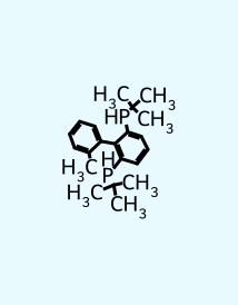 Cc1ccccc1-c1c(PC(C)(C)C)cccc1PC(C)(C)C